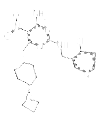 Nc1nc(NCc2cnccc2Cl)nc(C[C@H]2CC[C@H](N3CCC3)CC2)c1[N+](=O)[O-]